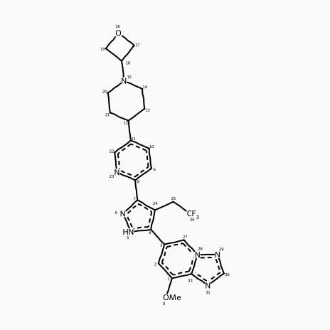 COc1cc(-c2[nH]nc(-c3ccc(C4CCN(C5COC5)CC4)cn3)c2CC(F)(F)F)cn2ncnc12